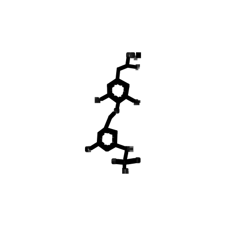 CCS(=O)(=O)Nc1cc(Cl)cc(COc2c(Br)cc(CC(F)C(=O)O)cc2Br)c1